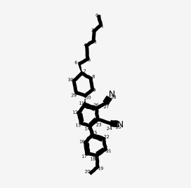 CCCCCCC[C@H]1CC[C@H](c2ccc(-c3ccc(CC)cc3)c(C#N)c2C#N)CC1